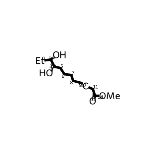 CCC(O)[C@@H](O)CCCCCCCC(=O)OC